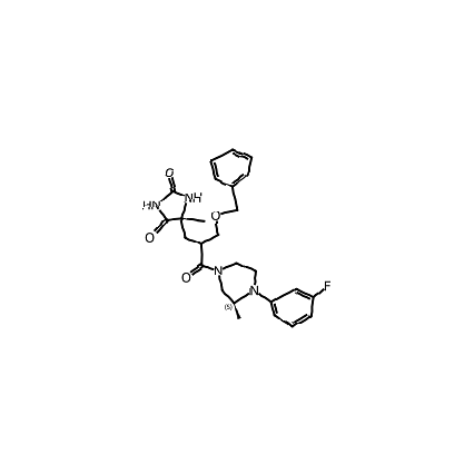 C[C@H]1CN(C(=O)C(COCc2ccccc2)CC2(C)NC(=O)NC2=O)CCN1c1cccc(F)c1